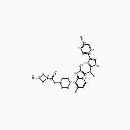 CCc1nc2c(C3CCN(CC(=O)N4CC(O)C4)CC3)c(C)ccn2c1N(C)c1nc(-c2ccc(F)cc2)cs1